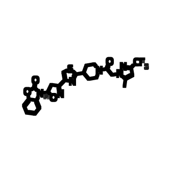 Cc1cc(C(F)(F)F)nn1CC(=O)N1CCC(c2nc(C3=NO[C@@H](n4c(=O)oc5ccccc54)C3)cs2)CC1